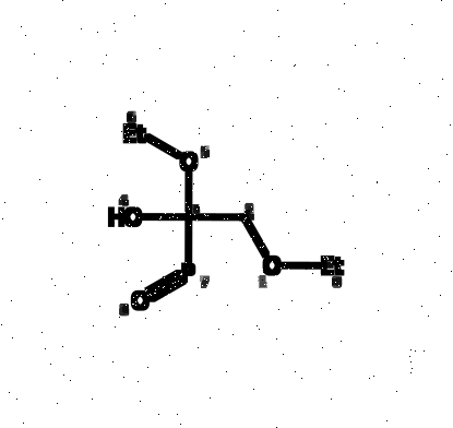 CCO[CH]C(O)(OCC)P=O